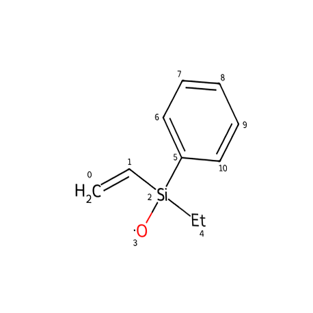 C=C[Si]([O])(CC)c1ccccc1